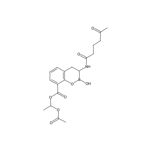 CC(=O)CCCC(=O)NC1Cc2cccc(C(=O)OC(C)OC(C)=O)c2OB1O